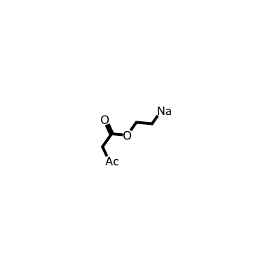 CC(=O)CC(=O)OC[CH2][Na]